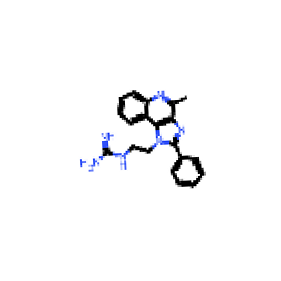 Cc1nc2ccccc2c2c1nc(-c1ccccc1)n2CCNC(=N)N